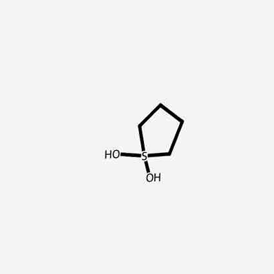 OS1(O)CCCC1